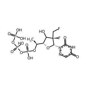 C[C@H](OP(=O)(O)OP(=O)(O)OP(=O)(O)O)[C@H]1O[C@@H](n2ncc(=O)[nH]c2=O)[C@@](F)(CF)C1O